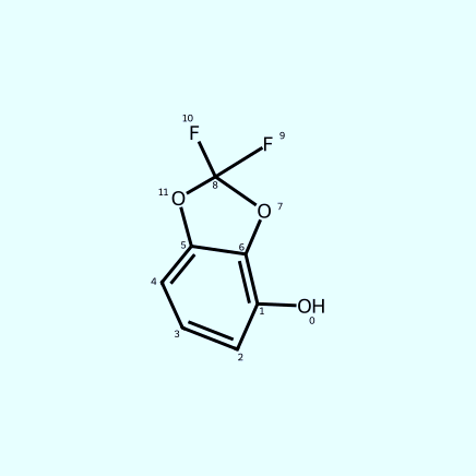 Oc1cccc2c1OC(F)(F)O2